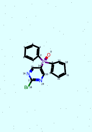 O=P(c1ccccc1)(c1ccccc1)c1cnc(Br)nc1